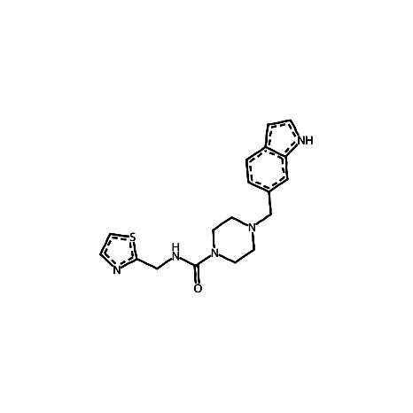 O=C(NCc1nccs1)N1CCN(Cc2ccc3cc[nH]c3c2)CC1